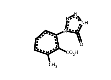 Cc1cccc(-n2nn[nH]c2=O)c1C(=O)O